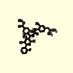 CC(C)c1cc(CN(C)C)ccc1NS(=O)(=O)/N=C(/c1cc(Cl)c(-c2ccccc2F)nc1Cl)N1CCN(C(=O)OC(C)(C)C)C[C@@H]1C